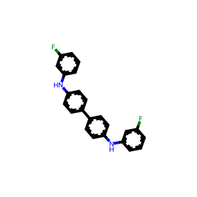 Fc1cccc(Nc2ccc(-c3ccc(Nc4cccc(F)c4)cc3)cc2)c1